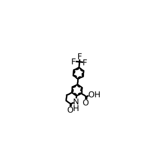 O=C1CCc2cc(-c3ccc(C(F)(F)F)cc3)cc(C(=O)O)c2N1